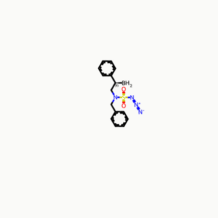 B[C@@H](CN(Cc1ccccc1)S(=O)(=O)N=[N+]=[N-])c1ccccc1